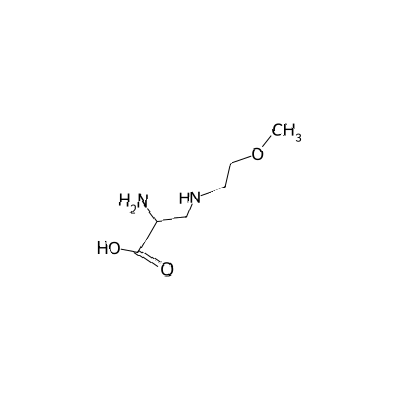 COCCNCC(N)C(=O)O